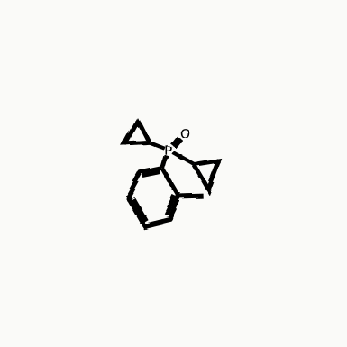 Cc1ccccc1P(=O)(C1CC1)C1CC1